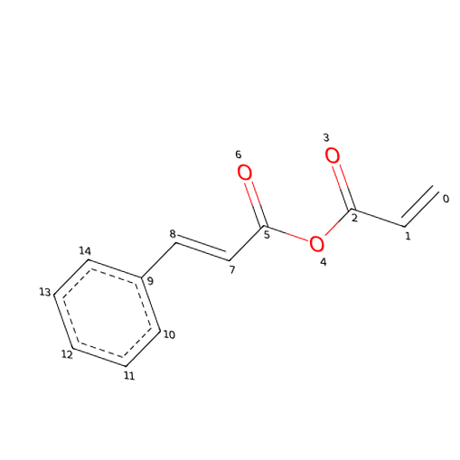 C=CC(=O)OC(=O)C=Cc1ccccc1